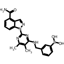 Cc1nc(-n2ncc3c(C(N)=O)cccc32)nc(NCc2cccc(B(O)O)c2)c1C